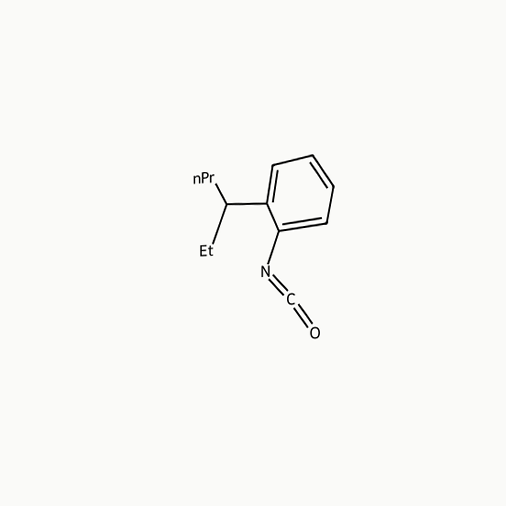 CCCC(CC)c1ccccc1N=C=O